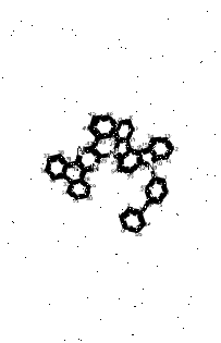 c1ccc(-c2cccc(-n3c4ccccc4c4c5c6ccccc6n(-c6nc7c8ccccc8c8ccccc8c7nc6-c6ccccc6)c5ccc43)c2)cc1